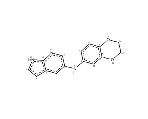 c1cc2cc(Nc3ccc4c(c3)OCCO4)cnc2[nH]1